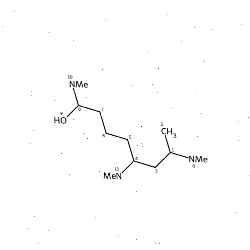 CNC(C)CC(CCCC(O)NC)NC